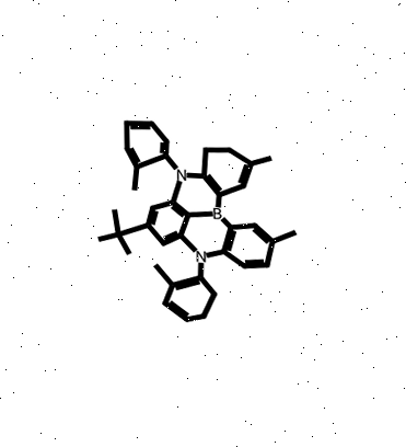 CC1=CC2=C(CC1)N(c1ccccc1C)c1cc(C(C)(C)C)cc3c1B2c1cc(C)ccc1N3C1=C(C)C=CCC1